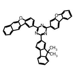 CC1(C)c2ccccc2-c2ccc(-c3nc(-c4ccc5c(c4)oc4ccccc45)nc(-c4ccc5oc6cc7ccccc7cc6c5c4)n3)cc21